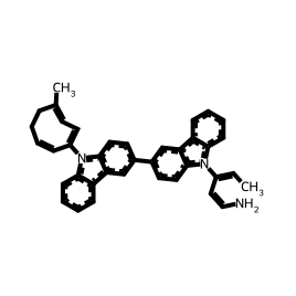 C/C=C(\C=C/N)n1c2ccccc2c2cc(-c3ccc4c(c3)c3ccccc3n4C3=C/C=C(\C)CC/C=C\3)ccc21